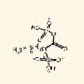 O=C(OS(=O)(=O)O)OS(=O)(=O)O.[SrH2].[SrH2]